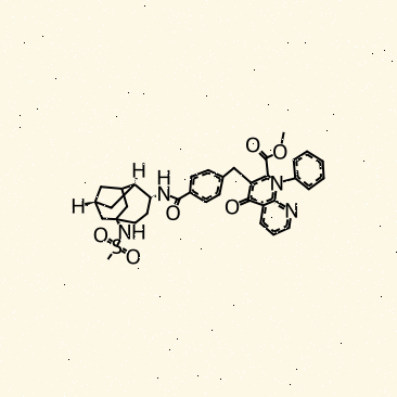 COC(=O)c1c(Cc2ccc(C(=O)N[C@@H]3CC[C@@]4(NS(C)(=O)=O)CC5C[C@H](C[C@@H]53)C4)cc2)c(=O)c2cccnc2n1-c1ccccc1